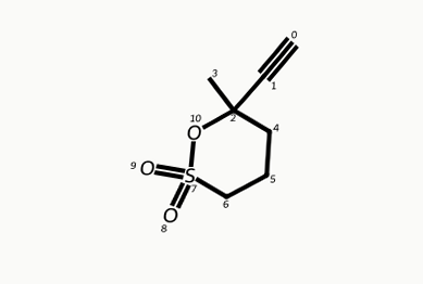 C#CC1(C)CCCS(=O)(=O)O1